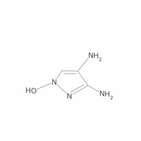 Nc1cn(O)nc1N